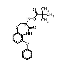 CC(C)(C)C(=O)ON[C@H]1CSc2cccc(Oc3ccccc3)c2NC1=O